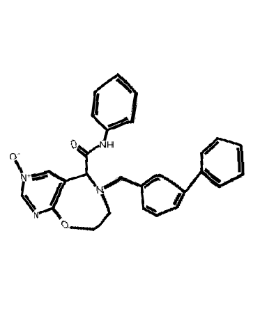 O=C(Nc1ccccc1)C1c2c[n+]([O-])cnc2OCCN1Cc1cccc(-c2ccccc2)c1